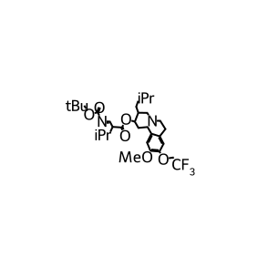 COc1cc2c(cc1OCC(F)(F)F)CCN1CC(CC(C)C)C(OC(=O)C(/C=N/C(=O)OC(C)(C)C)C(C)C)CC21